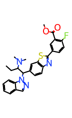 CCC(C(c1ccc2nc(-c3ccc(F)c(C(=O)OC)c3)sc2c1)n1ncc2ccccc21)N(C)C